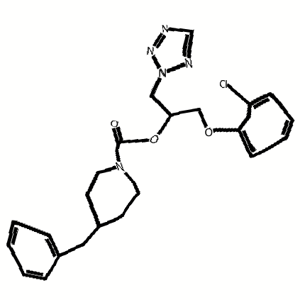 O=C(OC(COc1ccccc1Cl)Cn1ncnn1)N1CCC(Cc2ccccc2)CC1